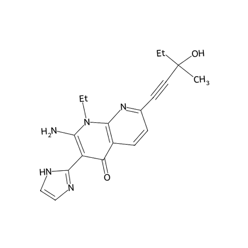 CCn1c(N)c(-c2ncc[nH]2)c(=O)c2ccc(C#CC(C)(O)CC)nc21